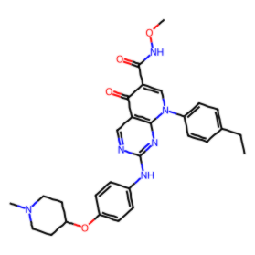 CCc1ccc(-n2cc(C(=O)NOC)c(=O)c3cnc(Nc4ccc(OC5CCN(C)CC5)cc4)nc32)cc1